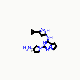 N[C@H]1CCN(c2nc(Nc3cc(C4CC4)n[nH]3)c3cccn3n2)C1